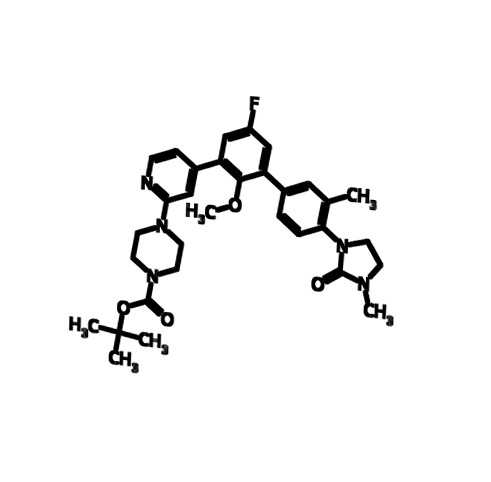 COc1c(-c2ccnc(N3CCN(C(=O)OC(C)(C)C)CC3)c2)cc(F)cc1-c1ccc(N2CCN(C)C2=O)c(C)c1